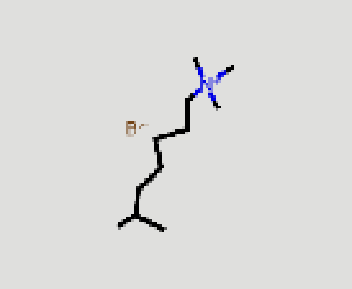 CC(C)CCCCC[N+](C)(C)C.[Br-]